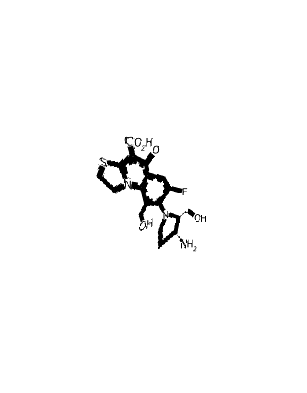 N[C@@H]1CCN(c2c(F)cc3c(=O)c(C(=O)O)c4n(c3c2CO)CCS4)[C@@H]1CO